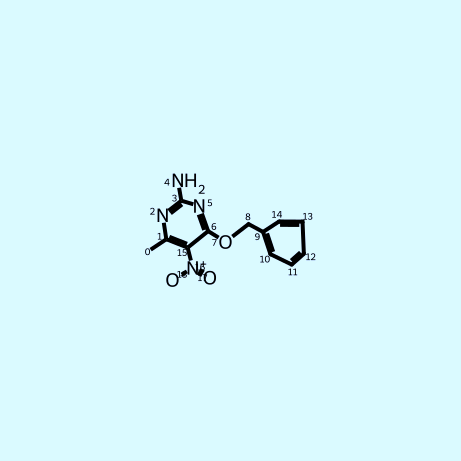 Cc1nc(N)nc(OCc2ccccc2)c1[N+](=O)[O-]